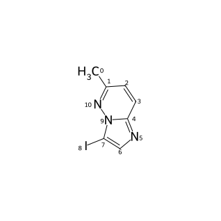 Cc1ccc2ncc(I)n2n1